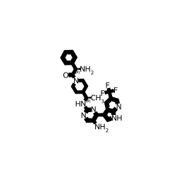 C[C@@H](Nc1ncc(N)c(-c2c[nH]c3ncc(C(F)(F)F)cc23)n1)C1CCN(C(=O)[C@H](N)c2ccccc2)CC1